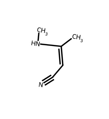 CN/C(C)=C\C#N